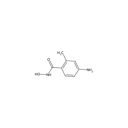 Cc1cc(N)ccc1C(=O)NO